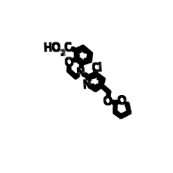 O=C(O)c1cccc2c1OCCN2c1ncc(COC2CCCCO2)cc1Cl